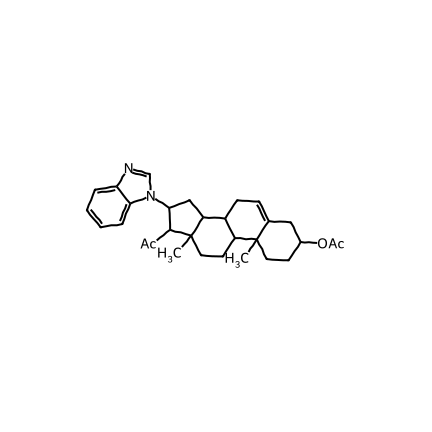 CC(=O)OC1CCC2(C)C(=CCC3C2CCC2(C)C3CC(n3cnc4ccccc43)C2C(C)=O)C1